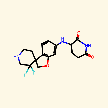 O=C1CCC(Nc2ccc3c(c2)OCC32CCNCC2(F)F)C(=O)N1